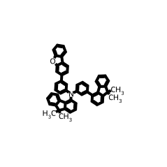 CC1(C)c2ccccc2-c2c(-c3cccc(N(c4cccc(-c5ccc6c(c5)oc5ccccc56)c4)c4cccc5c4-c4ccccc4C5(C)C)c3)cccc21